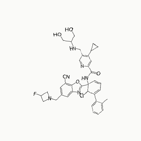 Cc1ccccc1C1=CC=CC(NC(=O)c2cc(C3CC3)c(CNC(CO)CO)cn2)(c2nc3cc(CN4CC(F)C4)cc(C#N)c3o2)C1Cl